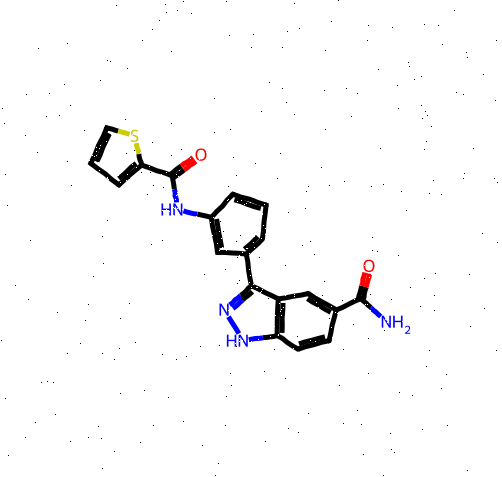 NC(=O)c1ccc2[nH]nc(-c3cccc(NC(=O)c4cccs4)c3)c2c1